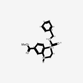 COC(=O)c1ccc2c(c1)N(C)CCN2C(=O)OCc1ccccc1